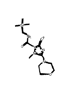 Cn1c(N2CCOCC2)nc(=O)n1C(=O)NC[Si](C)(C)C